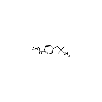 CC(=O)OOc1ccc(CC(C)(C)N)cc1